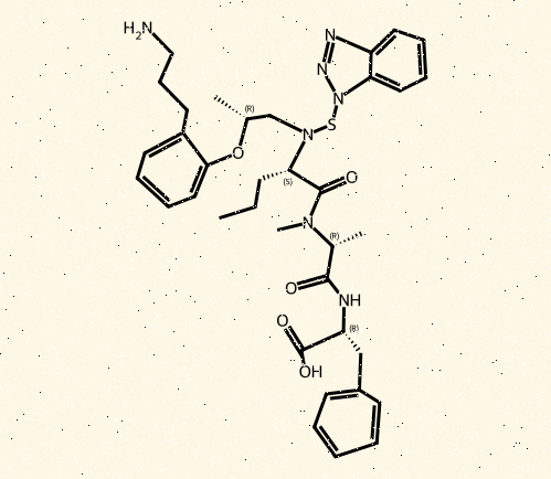 CCC[C@@H](C(=O)N(C)[C@H](C)C(=O)N[C@H](Cc1ccccc1)C(=O)O)N(C[C@@H](C)Oc1ccccc1CCCN)Sn1nnc2ccccc21